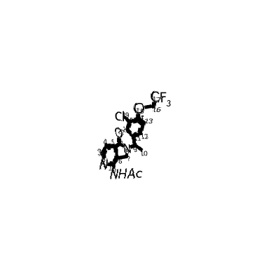 CC(=O)Nc1nccc2c1CN(C(C)c1ccc(OCC(F)(F)F)c(Cl)c1)C2=O